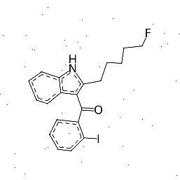 O=C(c1ccccc1I)c1c(CCCCCF)[nH]c2ccccc12